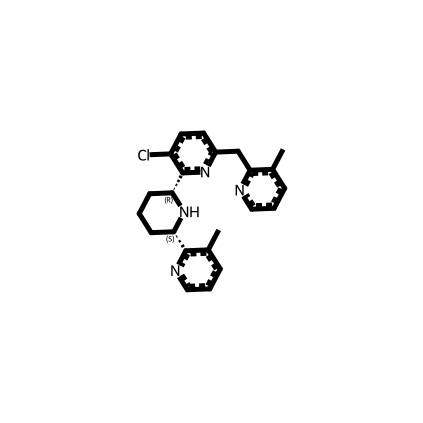 Cc1cccnc1Cc1ccc(Cl)c([C@H]2CCC[C@@H](c3ncccc3C)N2)n1